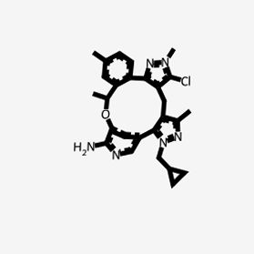 Cc1ccc2c(c1)C(C)Oc1cc(cnc1N)-c1c(c(C)nn1CC1CC1)Cc1c-2nn(C)c1Cl